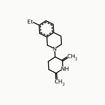 C=C1CCC(N2CCc3ccc(CC)cc3C2)C(=C)N1